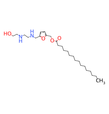 CCCCCCCCCCCCCCCC(=O)OCc1ccc(CNCCNCCO)o1